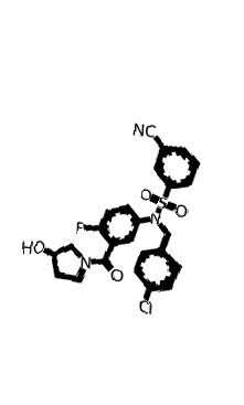 N#Cc1cccc(S(=O)(=O)N(Cc2ccc(Cl)cc2)c2ccc(F)c(C(=O)N3CCC(O)C3)c2)c1